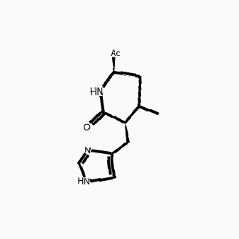 CC(=O)[C@H]1CC(C)[C@@H](Cc2c[nH]cn2)C(=O)N1